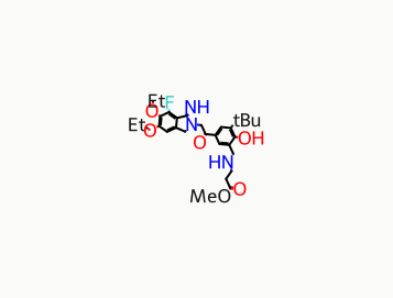 CCOc1cc2c(c(F)c1OCC)C(=N)N(CC(=O)c1cc(CNCCC(=O)OC)c(O)c(C(C)(C)C)c1)C2